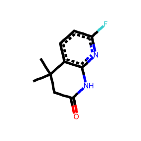 CC1(C)CC(=O)Nc2nc(F)ccc21